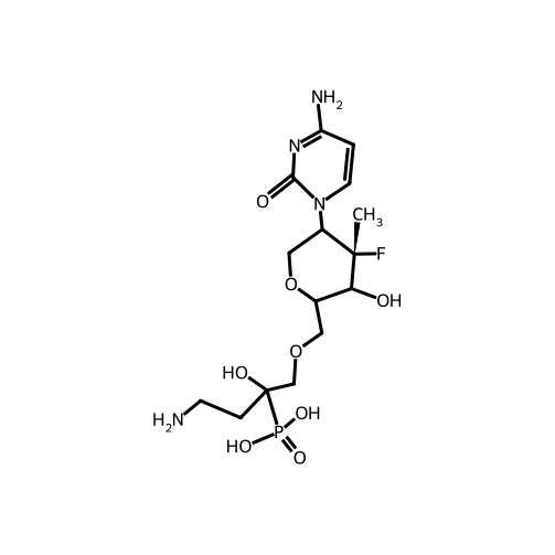 C[C@@]1(F)C(O)C(COCC(O)(CCN)P(=O)(O)O)OCC1n1ccc(N)nc1=O